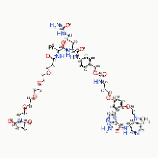 CC(C)C(NC(=O)CCOCCOCCOCCOCCN1C(=O)C=CC1=O)C(=O)N[C@@H](CCCNC(N)=O)C(=O)Nc1ccc(COC(=O)NCCCOc2ccc3c(c2)-c2cnc(N)c(n2)C(=O)Nc2cnccc2N(C)CCO3)cc1